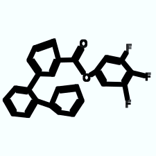 O=C(Oc1cc(F)c(F)c(F)c1)c1cccc(-c2ccccc2-c2ccccc2)c1